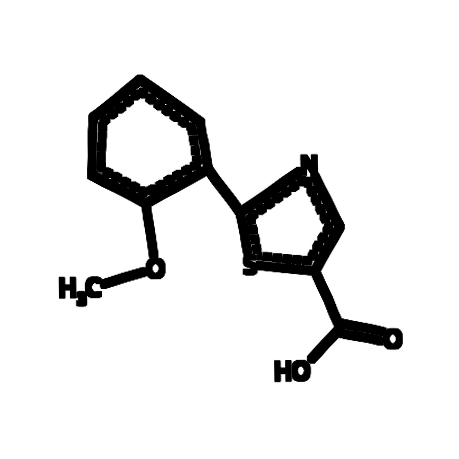 COc1ccccc1-c1ncc(C(=O)O)s1